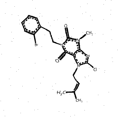 CC(C)=CCn1c(Cl)nc2c1c(=O)n(CCc1ccccc1Br)c(=O)n2C